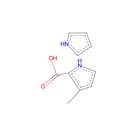 Cc1cc[nH]c1C(=O)O.c1cc[nH]c1